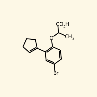 CC(Oc1ccc(Br)cc1C1=CCCC1)C(=O)O